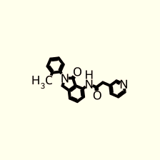 Cc1ccccc1N1Cc2cccc(NC(=O)Cc3cccnc3)c2C1=O